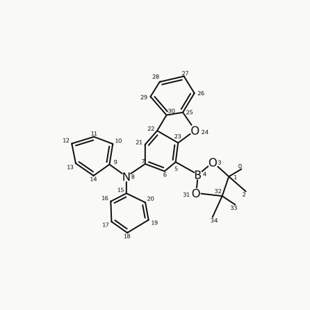 CC1(C)OB(c2cc(N(c3ccccc3)c3ccccc3)cc3c2oc2ccccc23)OC1(C)C